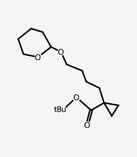 CC(C)(C)OC(=O)C1(CCCCOC2CCCCO2)CC1